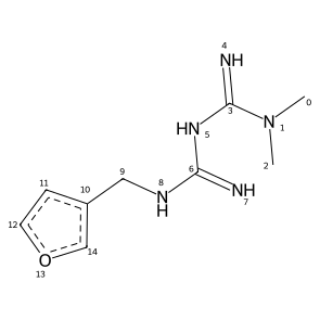 CN(C)C(=N)NC(=N)NCc1ccoc1